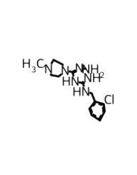 CN1CCN(C(=NN)NC(=N)NCc2ccccc2Cl)CC1